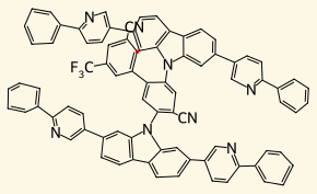 N#Cc1cc(-c2cc(-n3c4cc(-c5ccc(-c6ccccc6)nc5)ccc4c4ccc(-c5ccc(-c6ccccc6)nc5)cc43)c(C#N)cc2-n2c3cc(-c4ccc(-c5ccccc5)nc4)ccc3c3ccc(-c4ccc(-c5ccccc5)nc4)cc32)cc(C(F)(F)F)c1